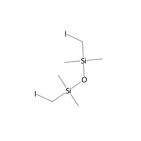 C[Si](C)(CI)O[Si](C)(C)CI